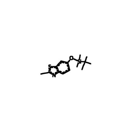 Cc1nc2ccc(O[Si](C)(C)C(C)(C)C)cc2s1